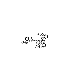 CC(=O)Oc1ccccc1OC(=O)CCC(COC(=O)Oc1ccccc1OC(C)=O)OC(=O)Oc1ccccc1OC(C)=O